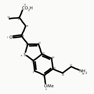 COc1cc2sc(C(=O)CC(C)C(=O)O)cc2cc1CCN